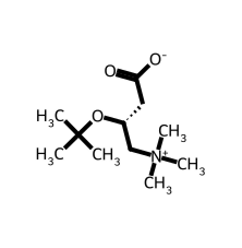 CC(C)(C)O[C@H](CC(=O)[O-])C[N+](C)(C)C